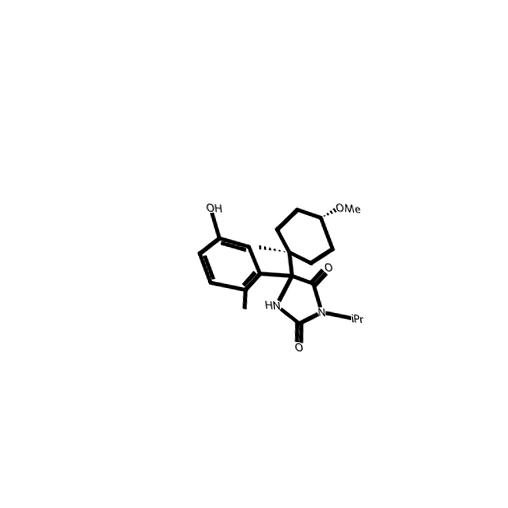 CO[C@H]1CC[C@](C)(C2(c3cc(O)ccc3C)NC(=O)N(C(C)C)C2=O)CC1